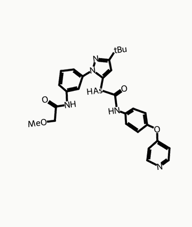 COCC(=O)Nc1cccc(-n2nc(C(C)(C)C)cc2[AsH]C(=O)Nc2ccc(Oc3ccncc3)cc2)c1